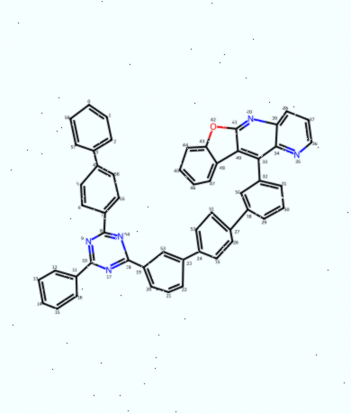 c1ccc(-c2ccc(-c3nc(-c4ccccc4)nc(-c4cccc(-c5ccc(-c6cccc(-c7c8ncccc8nc8oc9ccccc9c78)c6)cc5)c4)n3)cc2)cc1